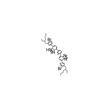 CCCCC(CC)Cc1cc(C2=CC=C(c3ccc(-c4ccc(-c5cc(CC(CC)CCCC)c(Br)s5)c5nsnc45)s3)C3=NSNC23)sc1Br